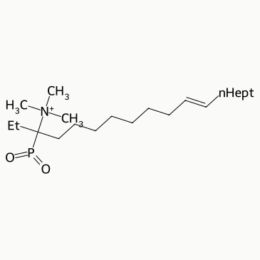 CCCCCCCC=CCCCCCCCC(CC)(P(=O)=O)[N+](C)(C)C